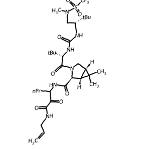 C=CCNC(=O)C(=O)C(CCC)NC(=O)[C@@H]1[C@@H]2[C@H](CN1C(=O)[C@@H](NC(=O)N[C@H](CN(C)S(=O)(=O)C(F)(F)F)C(C)(C)C)C(C)(C)C)C2(C)C